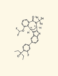 [2H]C([2H])([2H])N1C(=O)c2cccc(OC(F)F)c2[C@H]2C[C@@H]1c1nc3ccc(-c4ccc(P(=O)(CC)CC)c(F)c4)cc3n12